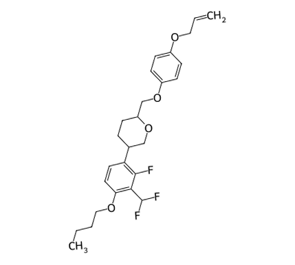 C=CCOc1ccc(OCC2CCC(c3ccc(OCCCC)c(C(F)F)c3F)CO2)cc1